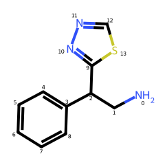 NCC(c1ccccc1)c1nncs1